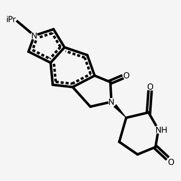 CC(C)n1cc2cc3c(cc2c1)C(=O)N([C@@H]1CCC(=O)NC1=O)C3